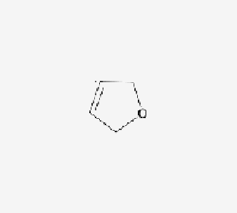 [C]1=CCOC1